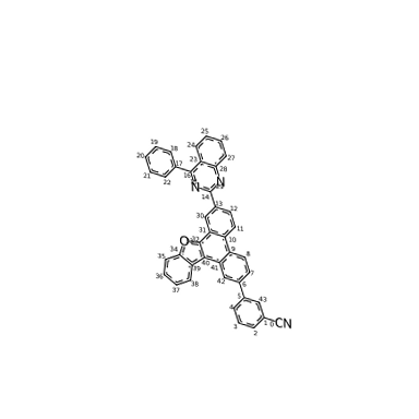 N#Cc1cccc(-c2ccc3c4ccc(-c5nc(-c6ccccc6)c6ccccc6n5)cc4c4oc5ccccc5c4c3c2)c1